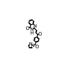 O=C(C=Cc1nc2ccccc2c(=O)[nH]1)c1ccc(C(=O)n2cccn2)cc1